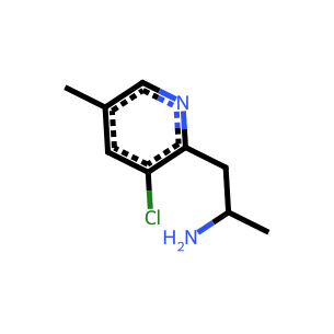 Cc1cnc(CC(C)N)c(Cl)c1